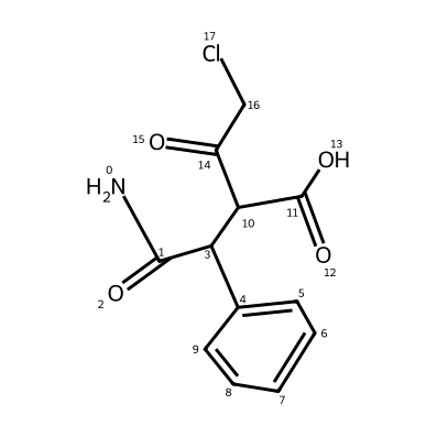 NC(=O)C(c1ccccc1)C(C(=O)O)C(=O)CCl